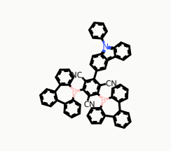 N#Cc1c(B2c3ccccc3-c3ccccc3-c3ccccc32)c(C#N)c(-c2ccc3c(c2)c2ccccc2n3-c2ccccc2)c(C#N)c1B1c2ccccc2-c2ccccc2-c2ccccc21